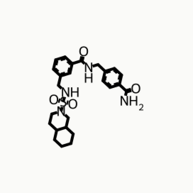 NC(=O)c1ccc(CNC(=O)c2cccc(CNS(=O)(=O)N3CCC4CCCCC4C3)c2)cc1